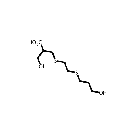 O=C(O)C(CO)CSCCSCCCO